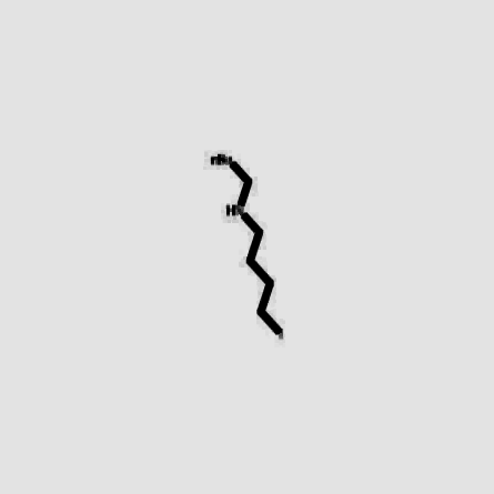 CCCCCNCCCCI